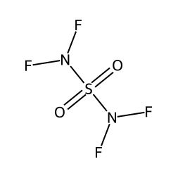 O=S(=O)(N(F)F)N(F)F